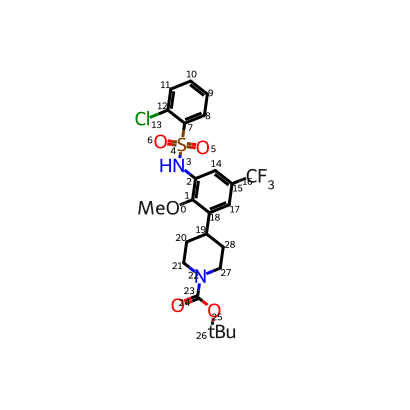 COc1c(NS(=O)(=O)c2ccccc2Cl)cc(C(F)(F)F)cc1C1CCN(C(=O)OC(C)(C)C)CC1